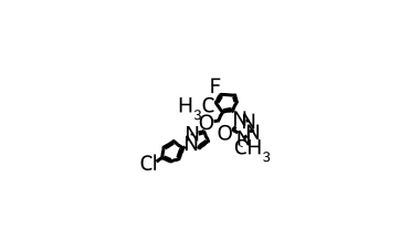 Cc1c(F)ccc(-n2nnn(C)c2=O)c1COc1ccn(-c2ccc(Cl)cc2)n1